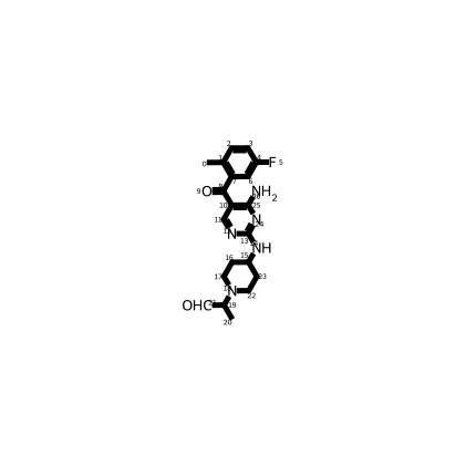 Cc1ccc(F)cc1C(=O)c1cnc(NC2CCN(C(C)C=O)CC2)nc1N